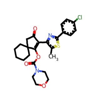 Cc1sc(-c2ccc(Cl)cc2)nc1C1=C(OC(=O)N2CCOCC2)C2(CCCCC2)CC1=O